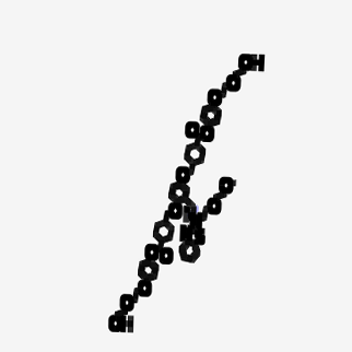 COCCOCCN(/N=C/c1cc(OCC2CCC(C(=O)Oc3ccc(OCCOCCO)cc3)CC2)ccc1OCC1CCC(C(=O)Oc2ccc(OCCOCCO)cc2)CC1)c1nc2ccccc2s1